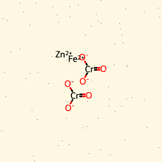 [Fe+2].[O]=[Cr]([O-])[O-].[O]=[Cr]([O-])[O-].[Zn+2]